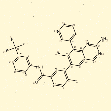 Cc1ccc(C(=O)Nc2cc(C(F)(F)F)ncn2)cc1-c1cc2cnc(N)nc2c(-c2cccnc2)c1O